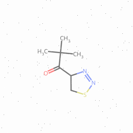 CC(C)(C)C(=O)C1CSN=N1